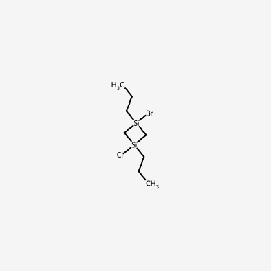 CCC[Si]1(Cl)C[Si](Br)(CCC)C1